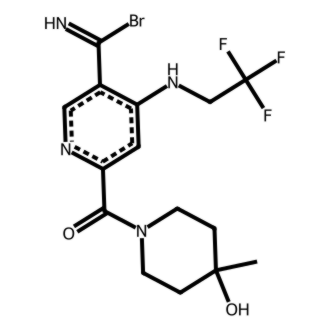 CC1(O)CCN(C(=O)c2cc(NCC(F)(F)F)c(C(=N)Br)cn2)CC1